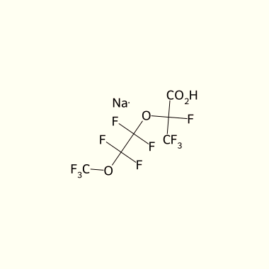 O=C(O)C(F)(OC(F)(F)C(F)(F)OC(F)(F)F)C(F)(F)F.[Na]